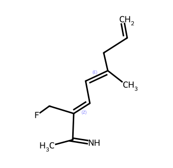 C=CC/C(C)=C/C=C(\CF)C(C)=N